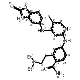 CCN(CC)CCc1cc(Nc2ncc(C)c(Nc3ccc4oc(=O)[nH]c4c3)n2)ccc1C(N)=O